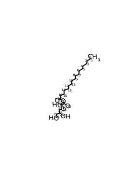 CCCCCCCCCCCCCCCCCC(=O)OP(=O)(O)OCC(O)CO